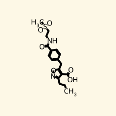 CCCc1noc(Cc2ccc(C(=O)NCCS(C)(=O)=O)cc2)c1C(=O)O